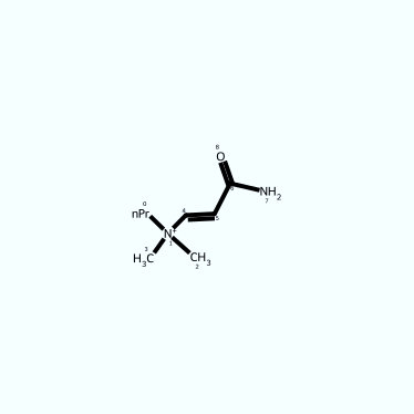 CCC[N+](C)(C)C=CC(N)=O